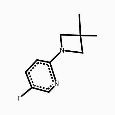 CC1(C)CN(c2ccc(F)cn2)C1